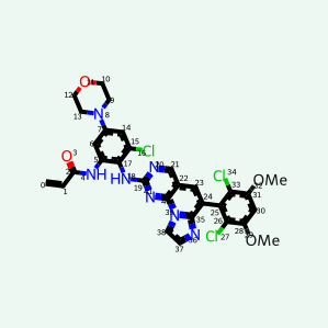 C=CC(=O)Nc1cc(N2CCOCC2)cc(Cl)c1Nc1ncc2cc(-c3c(Cl)c(OC)cc(OC)c3Cl)c3nccn3c2n1